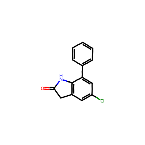 O=C1Cc2cc(Cl)cc(-c3ccccc3)c2N1